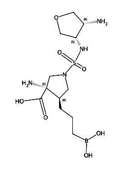 N[C@H]1COC[C@H]1NS(=O)(=O)N1C[C@@H](CCCB(O)O)[C@@](N)(C(=O)O)C1